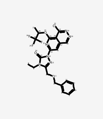 CCn1c(COCc2ccccc2)nn(-c2cc3cnnc(Cl)c3c(OC(C)C(F)(F)F)n2)c1=O